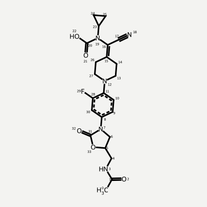 CC(=O)NCC1CN(c2ccc(N3CCC(=C(C#N)N(C(=O)O)C4CC4)CC3)c(F)c2)C(=O)O1